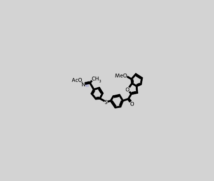 COc1cccc2cc(C(=O)c3ccc(Sc4ccc(/C(C)=N/OC(C)=O)cc4)cc3)oc12